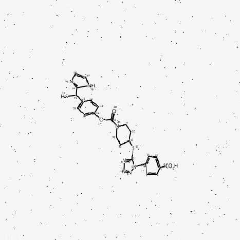 O=C(O)c1ccc(-n2nnnc2SC2CCN(C(=O)Oc3ccc(C(S)c4ncc[nH]4)cc3)CC2)cc1